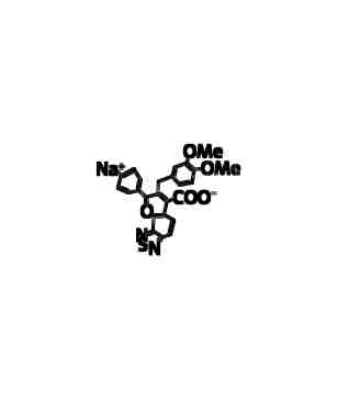 COc1ccc(CC(C(=O)c2ccc(C)cc2)=C(C(=O)[O-])c2ccc3nsnc3c2)cc1OC.[Na+]